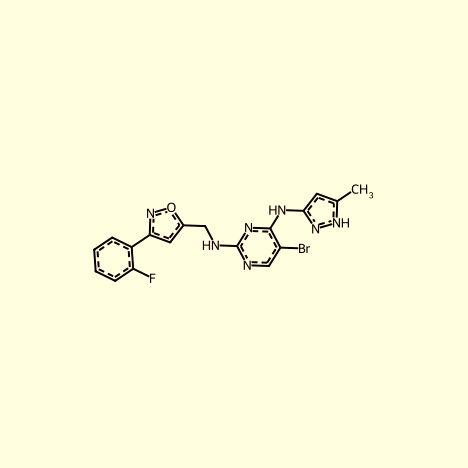 Cc1cc(Nc2nc(NCc3cc(-c4ccccc4F)no3)ncc2Br)n[nH]1